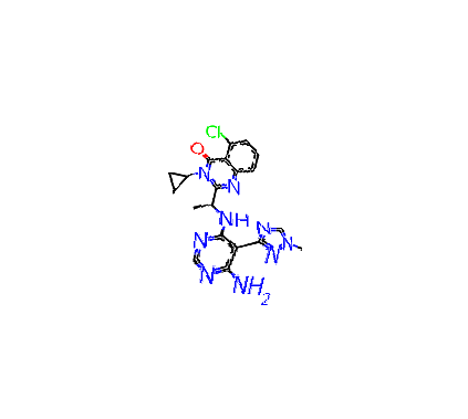 C[C@H](Nc1ncnc(N)c1-c1ncn(C)n1)c1nc2cccc(Cl)c2c(=O)n1C1CC1